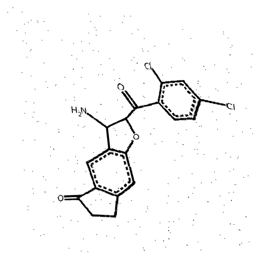 NC1c2cc3c(cc2OC1C(=O)c1ccc(Cl)cc1Cl)CCC3=O